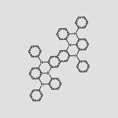 c1ccc(N2c3ccccc3B3c4cc5cc6c(cc5cc4N(c4ccccc4)c4cccc2c43)N2c3ccccc3N(c3ccccc3)c3cccc(c32)N6c2ccccc2)cc1